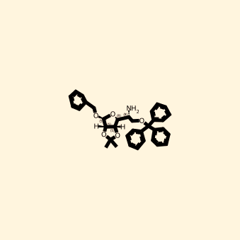 CC1(C)O[C@@H]2[C@H](O1)[C@@H](OCc1ccccc1)O[C@@H]2[C@H](N)COC(c1ccccc1)(c1ccccc1)c1ccccc1